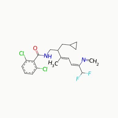 C=N/C(=C\C=C(/C)C(CNC(=O)c1c(Cl)cccc1Cl)CC1CC1)C(F)F